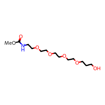 COC(=O)NCCOCCOCCOCCOCCCO